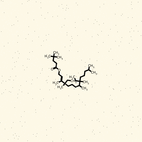 CCC(C)(CCCC(C)C(C)(CC)CCCC(C)C)/C(C)=C/COC(=O)CCC(C)(C)C